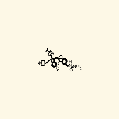 COc1ccc2c(c1)c(C=C1Oc3ccc(CNC(N)=O)cc3C1=O)c(-c1nc(C(C)C)no1)n2CCN1CCN(C)CC1